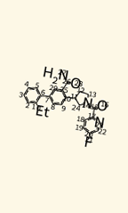 CCc1ccccc1-c1ccc(C2CCN(C(=O)c3ccc(F)cn3)C2)c(C(N)=O)c1